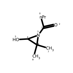 CCCC(=O)N1C(O)C1(C)C